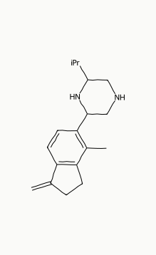 C=C1CCc2c1ccc(C1CNCC(C(C)C)N1)c2C